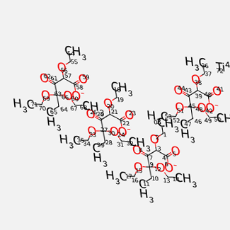 CCOC(C(=O)[O-])C(=O)C(CC)(OCC)OCC.CCOC(C(=O)[O-])C(=O)C(CC)(OCC)OCC.CCOC(C(=O)[O-])C(=O)C(CC)(OCC)OCC.CCOC(C(=O)[O-])C(=O)C(CC)(OCC)OCC.[Ti+4]